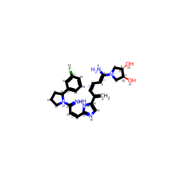 C=C(/C=C\C=C(/N)N1C[C@H](O)[C@@H](O)C1)c1cnc(/C=C\C(=N)N2CCCC2c2cccc(F)c2)[nH]1